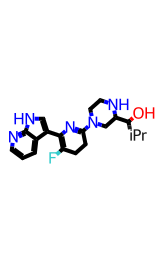 CC(C)C(O)C1CN(C2=NC(c3c[nH]c4ncccc34)=C(F)CC2)CCN1